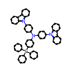 c1ccc([Si](c2ccccc2)(c2ccccc2)c2ccc(N(c3ccc(-n4c5ccccc5c5ccccc54)cc3)c3ccc(-n4c5ccccc5c5ccccc54)cc3)cc2)cc1